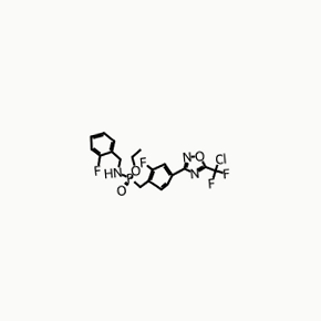 CCOP(=O)(Cc1ccc(-c2noc(C(F)(F)Cl)n2)cc1F)NCc1ccccc1F